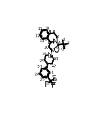 CC(C)(C)C(=O)N1CCc2ccccc2C1CCN1CCC(c2cccc(C(F)(F)F)c2)CC1